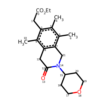 CCOC(=O)Cc1c(C)c(C)c2c(c1C)CC(=O)N(C1CCOCC1)C2